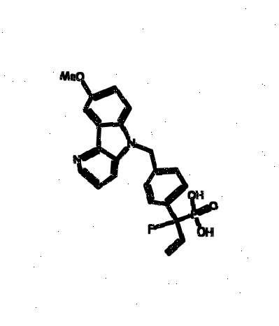 C=CC(F)(c1ccc(Cn2c3ccc(OC)cc3c3ncccc32)cc1)P(=O)(O)O